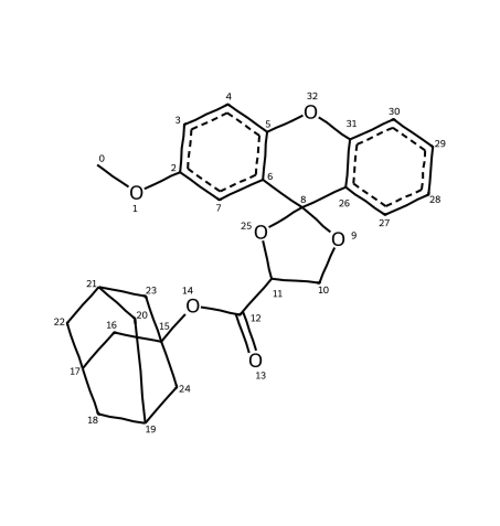 COc1ccc2c(c1)C1(OCC(C(=O)OC34CC5CC(CC(C5)C3)C4)O1)c1ccccc1O2